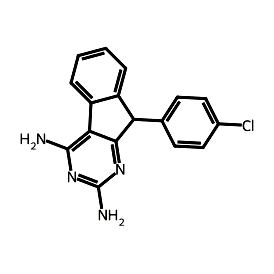 Nc1nc(N)c2c(n1)C(c1ccc(Cl)cc1)c1ccccc1-2